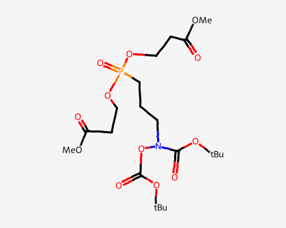 COC(=O)CCOP(=O)(CCCN(OC(=O)OC(C)(C)C)C(=O)OC(C)(C)C)OCCC(=O)OC